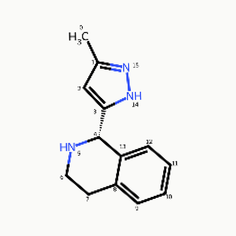 Cc1cc([C@H]2NCCc3ccccc32)[nH]n1